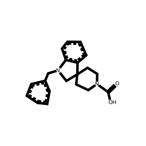 O=C(O)N1CCC2(CC1)CN(Cc1ccccc1)c1ccccc12